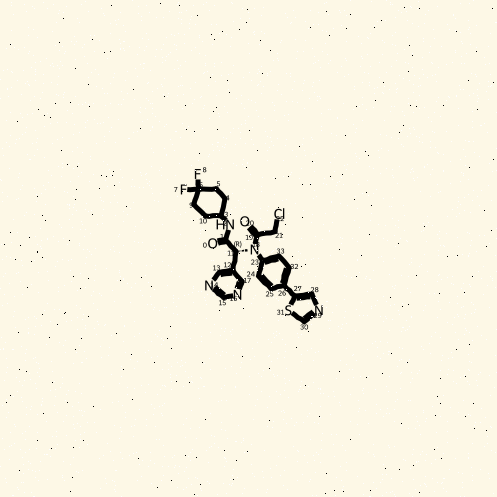 O=C(NC1CCC(F)(F)CC1)[C@@H](c1cncnc1)N(C(=O)CCl)c1ccc(-c2cncs2)cc1